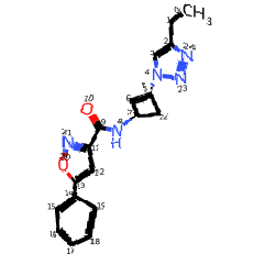 CCc1cn([C@H]2C[C@H](NC(=O)c3cc(-c4ccccc4)on3)C2)nn1